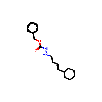 O=C(NNCCC=CC1CCCCC1)OCc1ccccc1